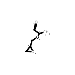 CC([C]=O)OCC1CO1